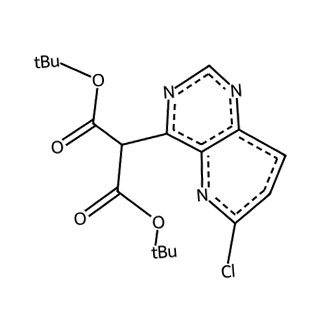 CC(C)(C)OC(=O)C(C(=O)OC(C)(C)C)c1ncnc2ccc(Cl)nc12